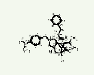 CC(C)C[C@H]1[C@@H]2N(Cc3ccc(N(C)C)cc3)C[C@@H]3C[C@H]1C(=O)N[C@@]32C(=O)NCc1ccccc1